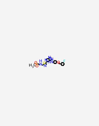 CS(=O)(=O)CCNCc1ncc(-c2cc3c(Nc4ccc(OCc5cccc(F)c5)cc4)ncnc3cn2)s1